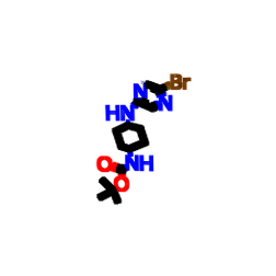 CC(C)(C)OC(=O)N[C@H]1CC[C@H](Nc2cnc(Br)cn2)CC1